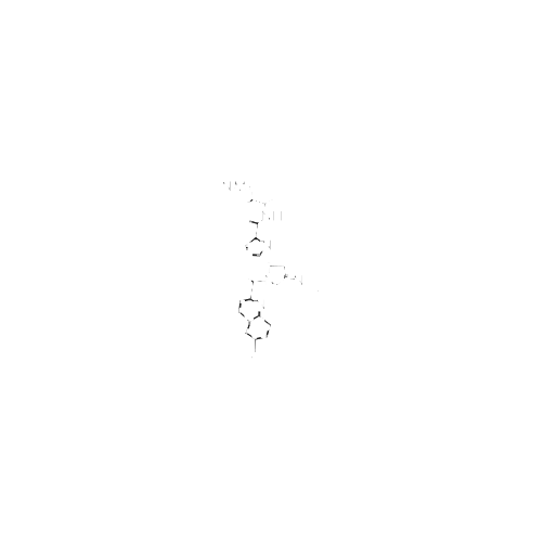 CNC(=O)C(C)NC(=O)c1csc([C@@H]2C[C@@H](N)CN2C(=O)c2ccc3cc(Cl)ccc3n2)n1